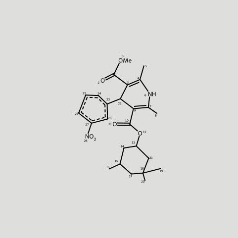 COC(=O)C1=C(C)NC(C)=C(C(=O)OC2CC(C)CC(C)(C)C2)C1c1cccc([N+](=O)[O-])c1